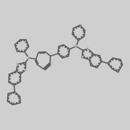 C1#CC(c2ccc(N(c3ccccc3)c3nc4ccc(-c5ccccc5)cc4s3)cc2)C=CC(N(c2ccccc2)c2nc3ccc(-c4ccccc4)cc3s2)=C1